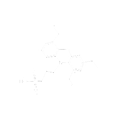 CCc1cc(CC)c2c(c1)Sc1c(CC)cccc1N2CCCS(=O)(=O)O